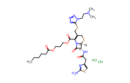 CCCCCC(=O)OCCCOC(=O)C1=C(CSc2nnnn2CCN(C)C)CS[C@H]2[C@H](NC(=O)Cc3csc(N)n3)C(=O)N12.Cl.Cl